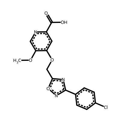 COc1cnc(C(=O)O)cc1OCc1nc(-c2ccc(Cl)cc2)no1